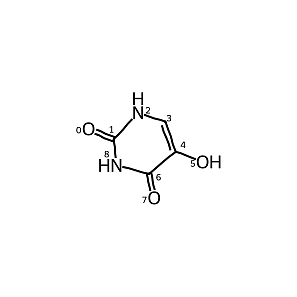 O=c1[nH]cc(O)c(=O)[nH]1